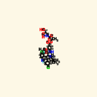 COc1cc(C(=O)OC(C)OC(=O)NCC(O)CO)ccc1NC(=O)C1NC(CC(C)(C)C)C(C#N)(c2ccc(Cl)cc2F)C1c1cccc(Cl)c1F